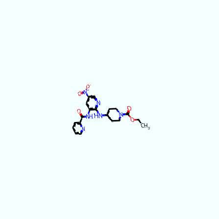 CCOC(=O)N1CCC(Nc2ncc([N+](=O)[O-])cc2NC(=O)c2ccccn2)CC1